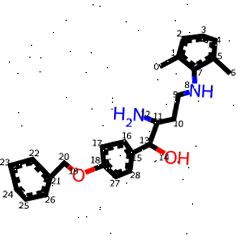 Cc1cccc(C)c1NCCC(N)C(O)c1ccc(OCc2ccccc2)cc1